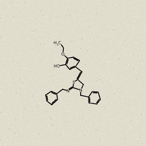 CCOc1ccc(/C=C2/CN(Cc3ccccc3)/C(=N/Cc3ccccc3)S2)cc1O